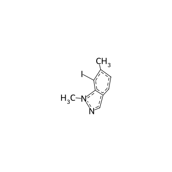 Cc1ccc2cnn(C)c2c1I